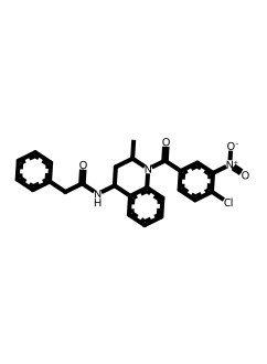 CC1CC(NC(=O)Cc2ccccc2)c2ccccc2N1C(=O)c1ccc(Cl)c([N+](=O)[O-])c1